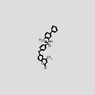 Cc1ccc(-c2ccccc2)cc1NS(=O)(=O)c1ccc(Cc2ccc3oc(=O)cc(C(F)(F)F)c3c2)cc1